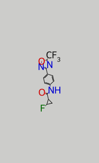 O=C(Nc1ccc(-c2noc(C(F)(F)F)n2)cc1)C1CC1F